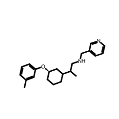 Cc1cccc(O[C@@H]2CCCC(C(C)CNCc3cccnc3)C2)c1